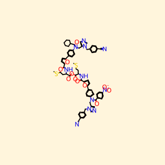 CSCCC(NC(=O)c1ccc(-c2ccc(N(Cc3cncn3Cc3ccc(C#N)cc3)C(=O)c3ccc([N+](=O)[O-])cc3)cc2)o1)C(=O)OC(=O)C(CCSC)NC(=O)c1ccc(-c2ccc(N(Cc3cncn3Cc3ccc(C#N)cc3)C(=O)C3CCCCC3)cc2)o1